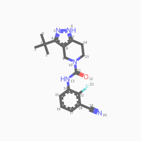 CC(C)(C)c1n[nH]c2c1CN(C(=O)Nc1cccc(C#N)c1F)CC2